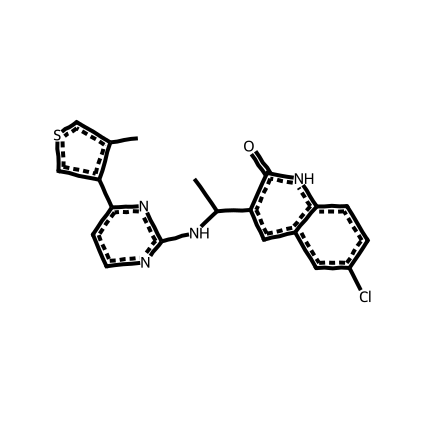 Cc1cscc1-c1ccnc(NC(C)c2cc3cc(Cl)ccc3[nH]c2=O)n1